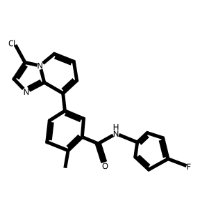 Cc1ccc(-c2cccn3c(Cl)cnc23)cc1C(=O)Nc1ccc(F)cc1